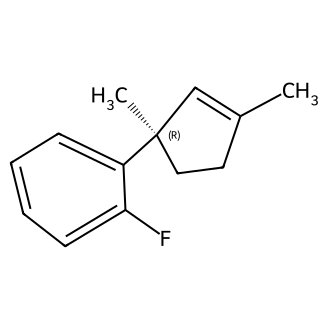 CC1=C[C@](C)(c2ccccc2F)CC1